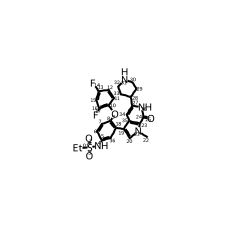 CCS(=O)(=O)Nc1ccc(Oc2ccc(F)cc2F)c(-c2cn(C)c3c(=O)[nH]c(C4CCNCC4)cc23)c1